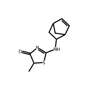 CC1SC(NC2CC3C=CC2C3)=NC1=O